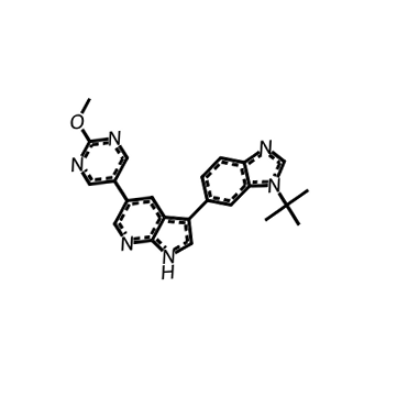 COc1ncc(-c2cnc3[nH]cc(-c4ccc5ncn(C(C)(C)C)c5c4)c3c2)cn1